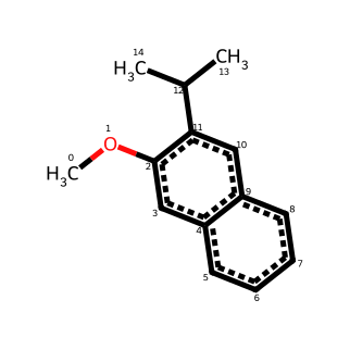 COc1cc2ccccc2cc1C(C)C